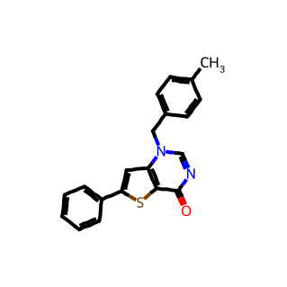 Cc1ccc(Cn2cnc(=O)c3sc(-c4ccccc4)cc32)cc1